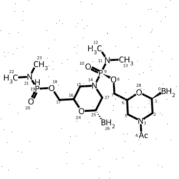 B[C@H]1CN(C(C)=O)CC(CO[P@@](=O)(N(C)C)N2CC(CO[PH](=O)N(C)C)O[C@@H](B)C2)O1